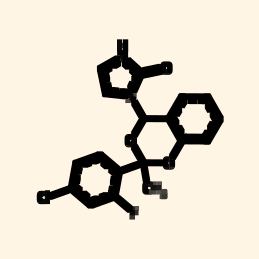 CC1(c2ccc(Cl)cc2F)Oc2ccccc2C(n2cc[nH]c2=O)O1